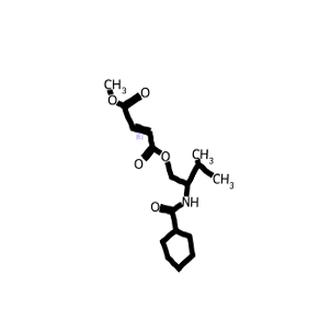 COC(=O)/C=C/C(=O)OCC(NC(=O)C1CCCCC1)C(C)C